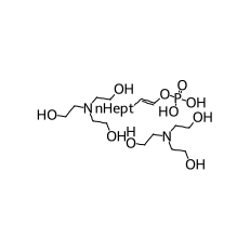 CCCCCCCC=COP(=O)(O)O.OCCN(CCO)CCO.OCCN(CCO)CCO